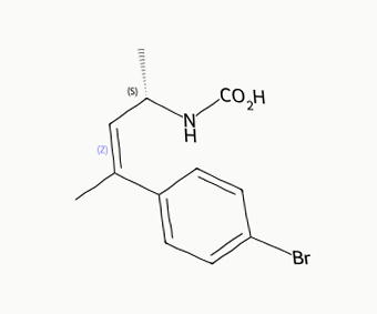 C/C(=C/[C@H](C)NC(=O)O)c1ccc(Br)cc1